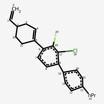 C=CC1CC=C(c2ccc(-c3ccc(CCC)cc3)c(Cl)c2F)CC1